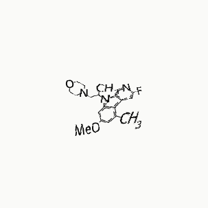 COc1cc(C)c2c3cc(F)ncc3n(C(C)CN3CCOCC3)c2c1